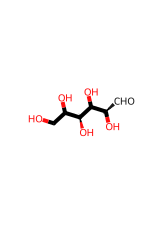 O=C[C@@H](O)C(O)[C@@H](O)C(O)CO